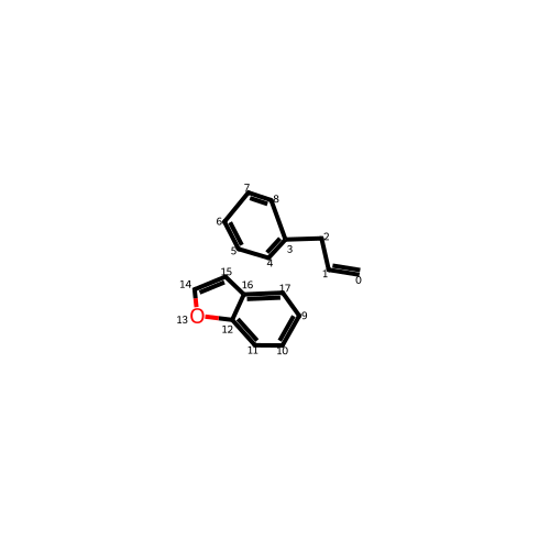 C=CCc1ccccc1.c1ccc2occc2c1